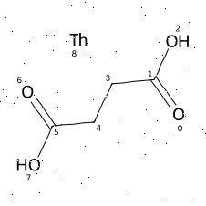 O=C(O)CCC(=O)O.[Th]